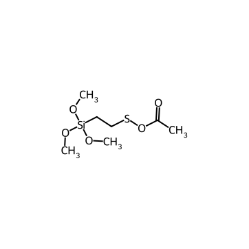 CO[Si](CCSOC(C)=O)(OC)OC